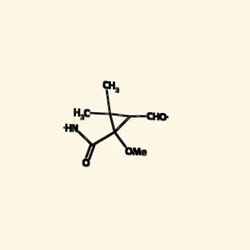 COC1(C([NH])=O)C([C]=O)C1(C)C